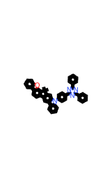 CC1(C)c2cc3c(cc2-c2ccc4c(oc5ccccc54)c21)c1ccccc1n3-c1ccc(-c2nc(-c3ccccc3)nc(-c3ccccc3)n2)cc1